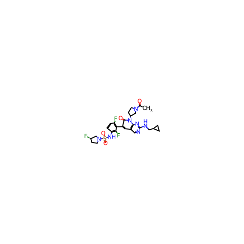 CC(=O)N1CC[C@@H](n2c(=O)c(-c3c(F)ccc(NS(=O)(=O)N4CC[C@@H](F)C4)c3F)cc3cnc(NCC4CC4)nc32)C1